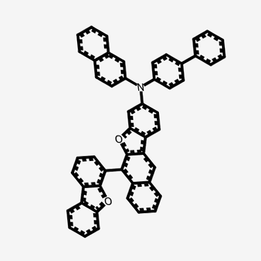 c1ccc(-c2ccc(N(c3ccc4ccccc4c3)c3ccc4c(c3)oc3c(-c5cccc6c5oc5ccccc56)c5ccccc5cc34)cc2)cc1